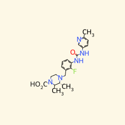 Cc1ccc(NC(=O)Nc2cccc(CN3CCN(C(=O)O)C(C)[C@H]3C)c2F)cn1